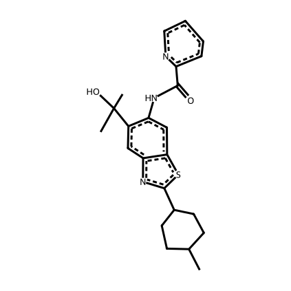 CC1CCC(c2nc3cc(C(C)(C)O)c(NC(=O)c4ccccn4)cc3s2)CC1